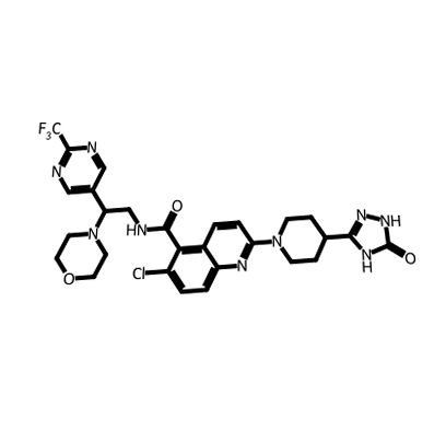 O=C(NCC(c1cnc(C(F)(F)F)nc1)N1CCOCC1)c1c(Cl)ccc2nc(N3CCC(c4n[nH]c(=O)[nH]4)CC3)ccc12